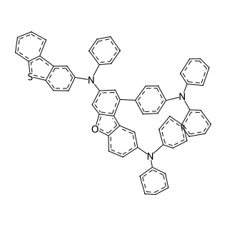 c1ccc(N(c2ccccc2)c2ccc(-c3cc(N(c4ccccc4)c4ccc5sc6ccccc6c5c4)cc4oc5ccc(N(c6ccccc6)c6ccccc6)cc5c34)cc2)cc1